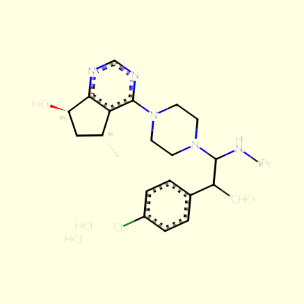 CC(C)NC(C(C=O)c1ccc(Cl)cc1)N1CCN(c2ncnc3c2[C@H](C)C[C@H]3O)CC1.Cl.Cl